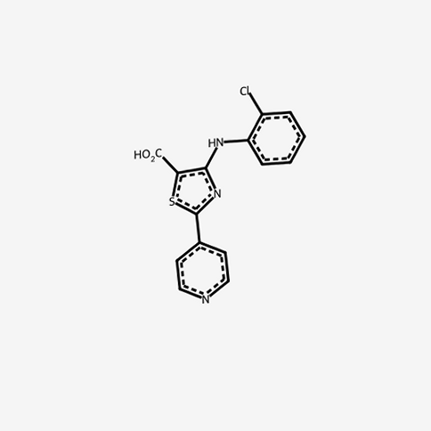 O=C(O)c1sc(-c2ccncc2)nc1Nc1ccccc1Cl